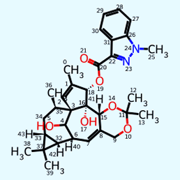 CC1=C[C@]23C(O)[C@@H](C=C4COC(C)(C)O[C@H]4[C@]2(O)[C@H]1OC(=O)c1nn(C)c2ccccc12)[C@H]1[C@@H](C[C@H]3C)C1(C)C